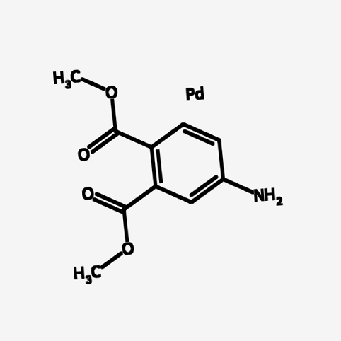 COC(=O)c1ccc(N)cc1C(=O)OC.[Pd]